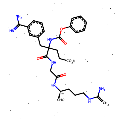 C=C(N)NCCC[C@@H](C=O)NC(=O)CNC(=O)C(CCC(=O)O)(Cc1cccc(C(=N)N)c1)NC(=O)Oc1ccccc1